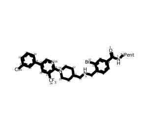 CCCC(C)NC(=O)c1ccc(CNCC2CCN(c3ncc(-c4cccc(Cl)c4)cc3C(F)(F)F)CC2)c(Br)c1